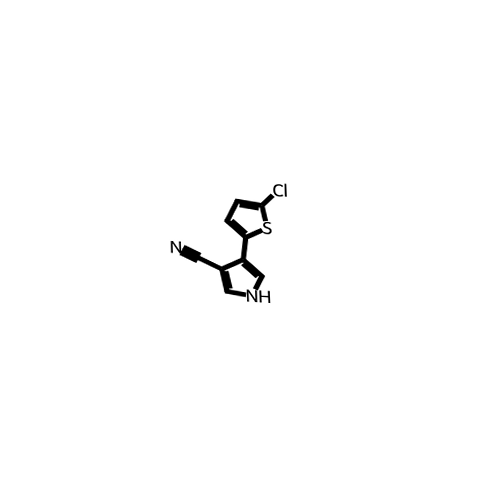 N#Cc1c[nH]cc1-c1ccc(Cl)s1